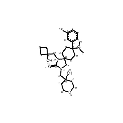 CN(C)C1(c2cccc(F)c2)CCC2(CC1)CN(CC1(O)CCOCC1)C(=O)N2CC1(O)CCC1